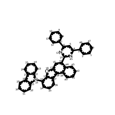 c1ccc(-c2cc(-c3ccccc3)nc(-c3cc4oc5c(-n6c7ccccc7c7ccccc76)cccc5c4c4ccccc34)n2)cc1